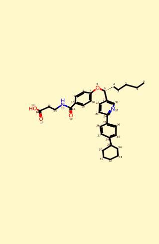 CCCCC[C@@H](Oc1ccc(C(=O)NCCC(=O)O)cc1)c1ccc(-c2ccc(C3CCCCC3)cc2)nc1